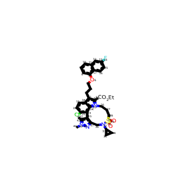 CCOC(=O)c1c(CCCOc2cccc3cc(F)ccc23)c2ccc(Cl)c3c2n1CCCS(=O)(=O)N(C1CC1)Cc1nn(C)c(C)c1-3